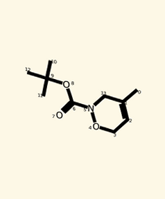 CC1=CCON(C(=O)OC(C)(C)C)C1